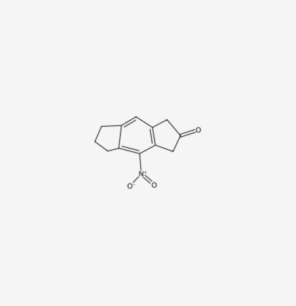 O=C1Cc2cc3c(c([N+](=O)[O-])c2C1)CCC3